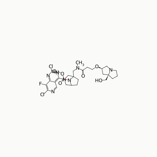 CN(CC12CCC(CN(c3nc(Cl)nc4c(F)c(Cl)ncc34)C1)N2C(=O)OC(C)(C)C)C(=O)CCO[C@H]1CN2CCC[C@]2(CO)C1